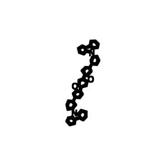 c1cc(-c2ccc3c(c2)oc2cc4c(cc23)oc2cc(-c3cccc(-n5c6ccccc6c6ccccc65)c3)ccc24)cc(-n2c3ccccc3c3ccccc32)c1